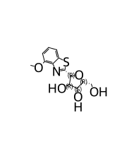 COc1cccc2sc([C@@H]3O[C@H](CO)[C@@H](O)[C@H]3O)nc12